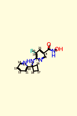 O=C(NO)c1cnc(NC2(c3ccccn3)CCC2)c(F)c1